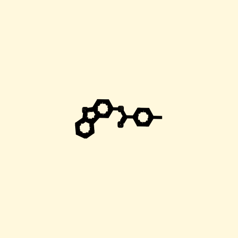 Cc1ccc(C(=O)Oc2ccc3oc4ccccc4c3c2)cc1